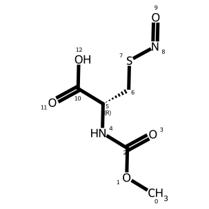 COC(=O)N[C@@H](CSN=O)C(=O)O